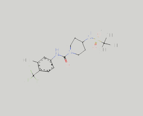 Cc1cc(NC(=O)N2CCC(NS(=O)(=O)C(C)(C)C)CC2)ccc1C(F)(F)F